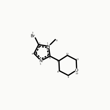 Cn1c(Br)cnc1C1CCOCC1